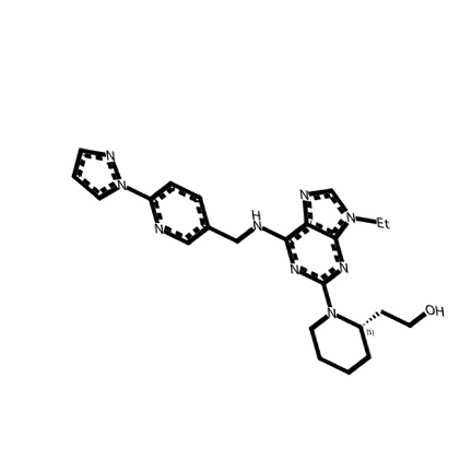 CCn1cnc2c(NCc3ccc(-n4cccn4)nc3)nc(N3CCCC[C@H]3CCO)nc21